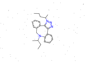 CCCC(C)n1nnc2c1-c1ccccc1CN(C(C)CC)c1ccccc1-2